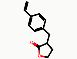 C=Cc1ccc(CC2CCOC2=O)cc1